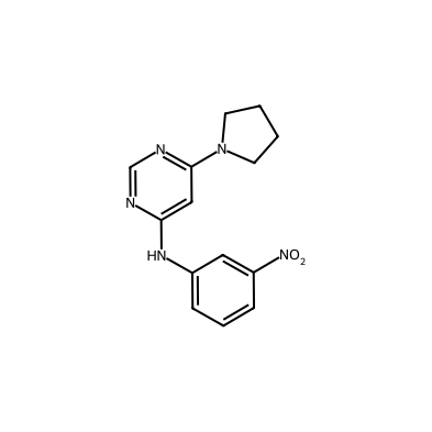 O=[N+]([O-])c1cccc(Nc2cc(N3CCCC3)ncn2)c1